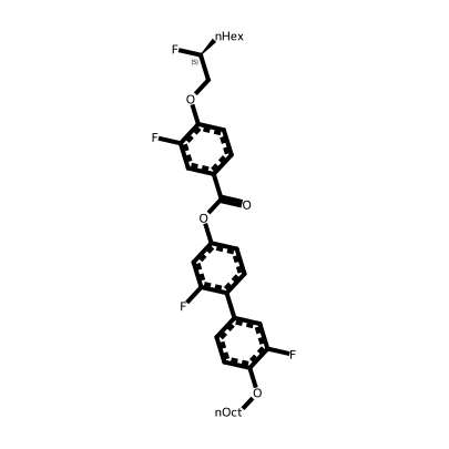 CCCCCCCCOc1ccc(-c2ccc(OC(=O)c3ccc(OC[C@@H](F)CCCCCC)c(F)c3)cc2F)cc1F